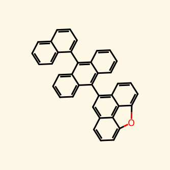 c1ccc2c(-c3c4ccccc4c(-c4cc5cccc6oc7cccc4c7c56)c4ccccc34)cccc2c1